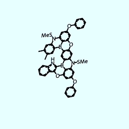 CSN1c2cc(C)c(C)cc2B2c3cc4c(cc3Oc3cc(Oc5ccccc5)cc1c32)N(SC)c1cc(Oc2ccccc2)cc2c1B4c1[nH]c3ccccc3c1O2